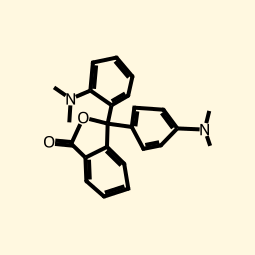 CN(C)c1ccc(C2(c3ccccc3N(C)C)OC(=O)c3ccccc32)cc1